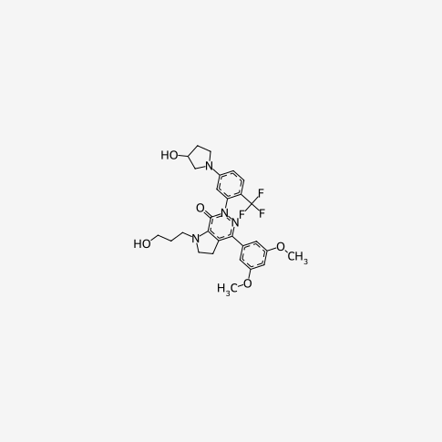 COc1cc(OC)cc(-c2nn(-c3cc(N4CCC(O)C4)ccc3C(F)(F)F)c(=O)c3c2CCN3CCCO)c1